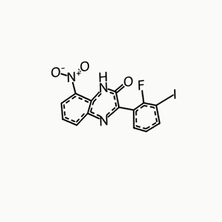 O=c1[nH]c2c([N+](=O)[O-])cccc2nc1-c1cccc(I)c1F